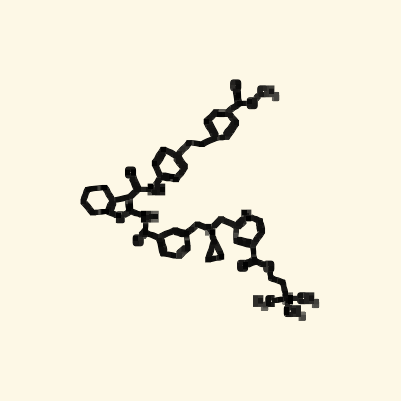 COC(=O)c1ccc(CCc2ccc(NC(=O)c3c(NC(=O)c4cccc(CN(Cc5cc(C(=O)OCC[Si](C)(C)C)ccn5)C5CC5)c4)sc4c3CCCC4)cc2)cc1